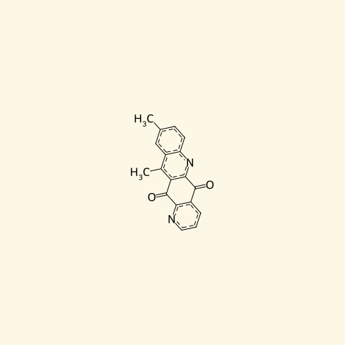 Cc1ccc2nc3c(c(C)c2c1)C(=O)c1ncccc1C3=O